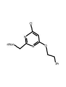 CCCCCCCCCCc1nc(Cl)cc(OCCC(C)C)n1